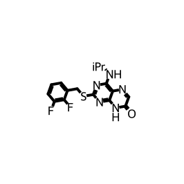 CC(C)Nc1nc(SCc2cccc(F)c2F)nc2[nH]c(=O)cnc12